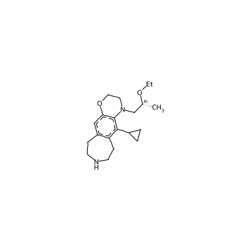 CCO[C@H](C)CN1CCOc2cc3c(c(C4CC4)c21)CCNCC3